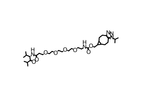 CC(C)C(=O)[C@@H](NC(=O)CCOCCOCCOCCOCCNC(=O)OCC1C2CCc3nnn(C(C)C)c3CCC21)C(C)C